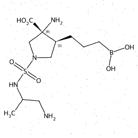 CC(CN)NS(=O)(=O)N1C[C@H](CCCB(O)O)[C@](N)(C(=O)O)C1